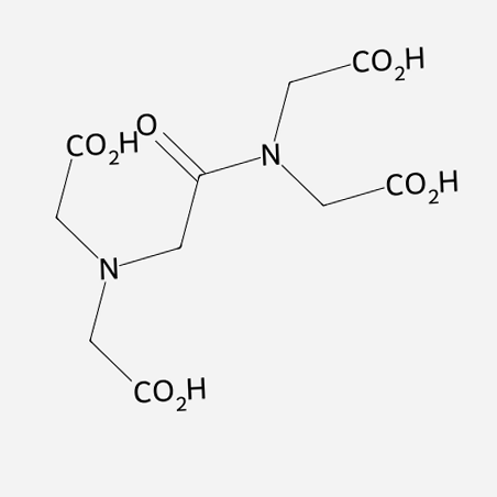 O=C(O)CN(CC(=O)O)CC(=O)N(CC(=O)O)CC(=O)O